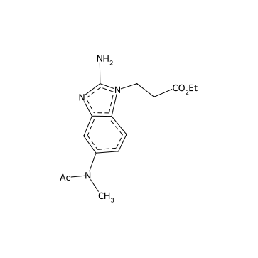 CCOC(=O)CCn1c(N)nc2cc(N(C)C(C)=O)ccc21